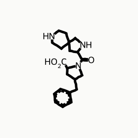 O=C(O)C1CC(Cc2ccccc2)CN1C(=O)C1CC2(CCNCC2)CN1